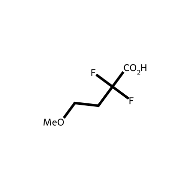 COCCC(F)(F)C(=O)O